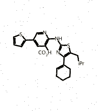 CC(C)Cc1sc(Nc2ncc(-c3cccs3)cc2C(=O)O)nc1C1=CCCCC1